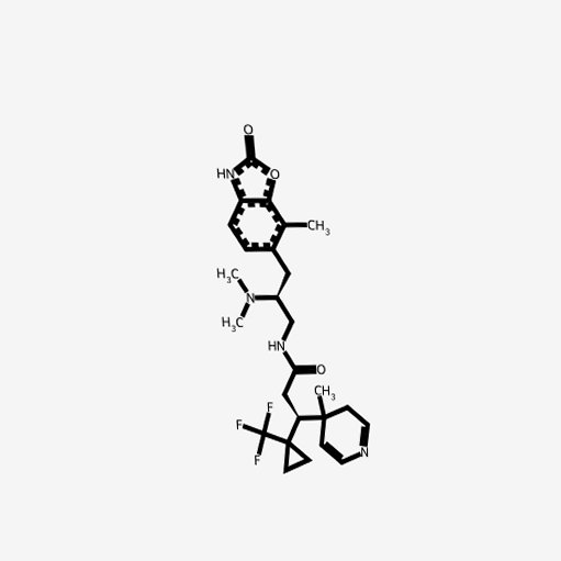 Cc1c(C[C@@H](CNC(=O)C[C@@H](C2(C)C=CN=CC2)C2(C(F)(F)F)CC2)N(C)C)ccc2[nH]c(=O)oc12